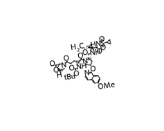 C=C[C@@H]1C[C@]1(NC(=O)[C@@H]1CC(Oc2nccc3cc(OC)ccc23)CN1C(=O)[C@H](CCC(=O)N1C[C@H]2CC1C(=O)O2)NC(=O)OC(C)(C)C)C(=O)NS(=O)(=O)C1CC1